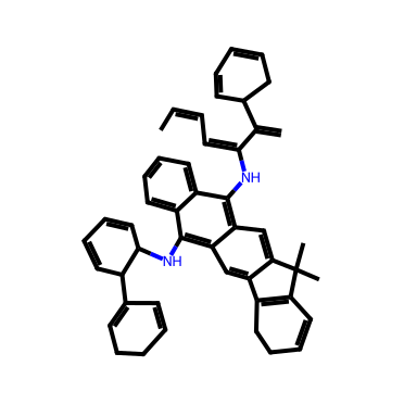 C=C(/C(=C\C=C/C)Nc1c2ccccc2c(NC2C=CC=CC2C2=CCCC=C2)c2cc3c(cc12)C(C)(C)C1=C3CCC=C1)C1C=CC=CC1